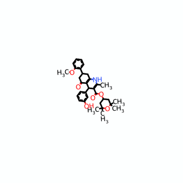 COc1ccccc1C1CC(=O)C2=C(C1)NC(C)=C(C(=O)OC1CC(C)(C)OC(C)(C)C1)C2c1cccc(O)c1